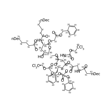 CCCCCCCCCCCCCC(=O)N[C@H]1[C@@H](OCC(=O)OCc2ccccc2)O[C@H](CO[C@@H]2O[C@H](COC(=O)OCC(Cl)(Cl)Cl)[C@@H](OP(=O)(Oc3ccccc3)Oc3ccccc3)[C@H](OC(=O)CNC(=O)CCCCCCCCCCC)[C@H]2NC(=O)OCC(Cl)(Cl)Cl)[C@@H](O)[C@@H]1OC(=O)CCCCCCCCCCCCC